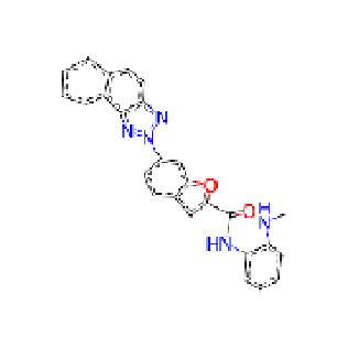 CNc1ccccc1NC(=O)c1cc2ccc(-n3nc4ccc5ccccc5c4n3)cc2o1